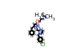 CN(C)CCCOc1cc(Cc2ccccc2)n(Cc2nccn2Cc2ccc(Cl)cc2)n1